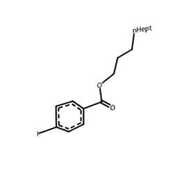 CCCCCCCCCCOC(=O)c1ccc(I)cc1